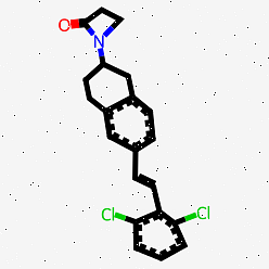 O=C1CCN1C1CCc2cc(/C=C/c3c(Cl)cccc3Cl)ccc2C1